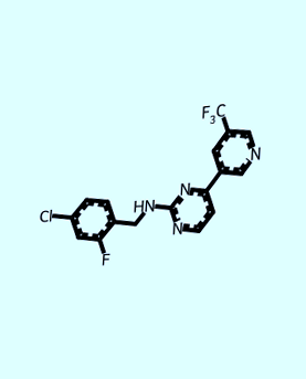 Fc1cc(Cl)ccc1CNc1nccc(-c2cncc(C(F)(F)F)c2)n1